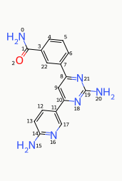 NC(=O)c1cccc(-c2cc(-c3ccc(N)nc3)nc(N)n2)c1